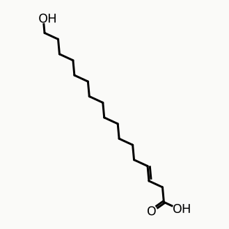 O=C(O)CC=CCCCCCCCCCCCCCO